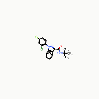 CC(C)(C)NC(=O)c1nn(-c2ccc(F)cc2Cl)c2c1C1CCC2C1